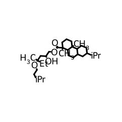 CCC(C)(CC(O)COC(=O)C1(C)CCCC2(C)C3CCC(C(C)C)CC3CCC12)OCCC(C)C